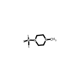 CN1CCN([Si](I)(I)I)CC1